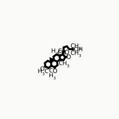 CC(C)(O)C1CC[C@](C)(C2C(=O)C[C@@]3(C)C4CC(=O)C5C(C)(C)C(=O)CCC56CC46CCC23C)O1